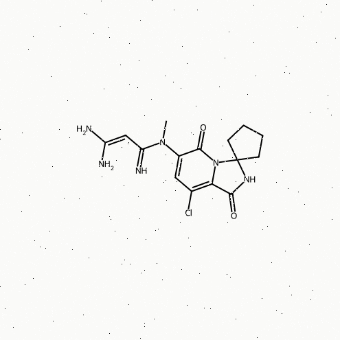 CN(C(=N)C=C(N)N)c1cc(Cl)c2n(c1=O)C1(CCCC1)NC2=O